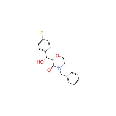 O=C1[C@H]([C@H](O)c2ccc(F)cc2)OCCN1Cc1ccccc1